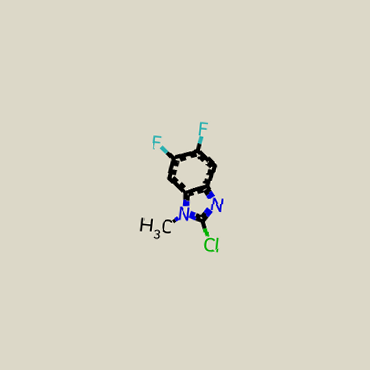 Cn1c(Cl)nc2cc(F)c(F)cc21